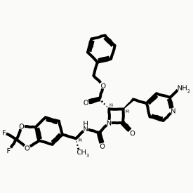 C[C@@H](NC(=O)N1C(=O)[C@H](Cc2ccnc(N)c2)[C@H]1C(=O)OCc1ccccc1)c1ccc2c(c1)OC(F)(F)O2